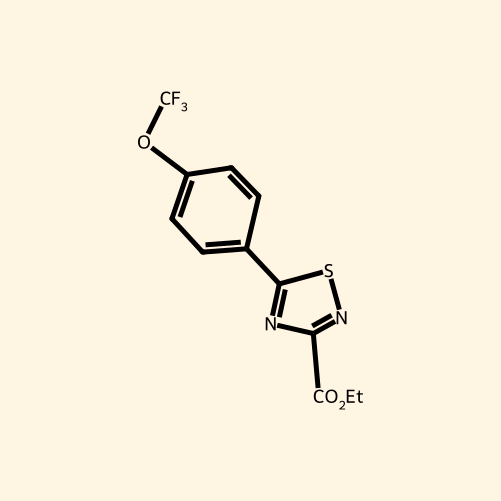 CCOC(=O)c1nsc(-c2ccc(OC(F)(F)F)cc2)n1